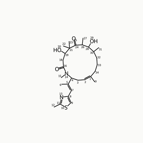 CC1=CCC(C(C)=Cc2csc(C)n2)N(C)C(=O)CC(O)C(C)(C)C(=O)C(C)C(O)C(C)CCC1